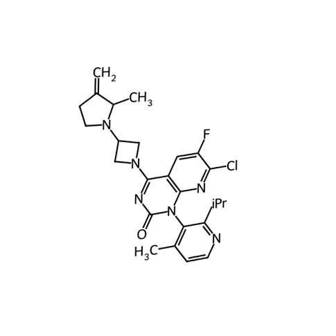 C=C1CCN(C2CN(c3nc(=O)n(-c4c(C)ccnc4C(C)C)c4nc(Cl)c(F)cc34)C2)C1C